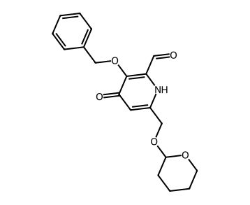 O=Cc1[nH]c(COC2CCCCO2)cc(=O)c1OCc1ccccc1